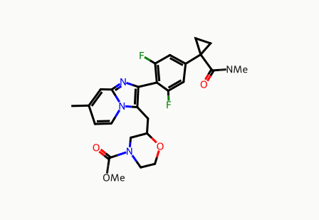 CNC(=O)C1(c2cc(F)c(-c3nc4cc(C)ccn4c3CC3CN(C(=O)OC)CCO3)c(F)c2)CC1